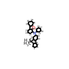 CC1(C)c2ccccc2-c2ccc(N(c3ccccc3)c3cccc4c3oc3ccccc34)cc21